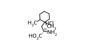 CC1CCCCC1(C)C[C@H](N)C(=O)O.Cl